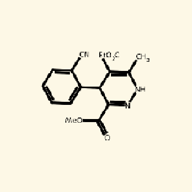 CCOC(=O)C1=C(C)NN=C(C(=O)OC)C1c1ccccc1C#N